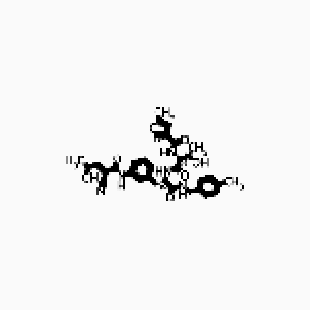 Cc1ccc(CNC(=O)[C@H](Cc2cccc(NC(=O)C(C#N)=CC(C)C)c2)NC(=O)[C@@H](NC(=O)c2cc(C)on2)[C@@H](C)O)cc1